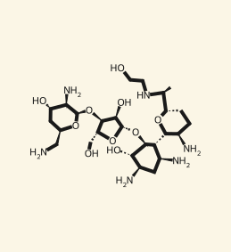 C[C@H](NCCO)[C@@H]1CC[C@@H](N)C([C@H]2[C@H](O[C@@H]3O[C@H](CO)[C@@H](O[C@H]4O[C@@H](CN)C[C@H](O)[C@H]4N)[C@H]3O)[C@@H](O)[C@H](N)C[C@@H]2N)O1